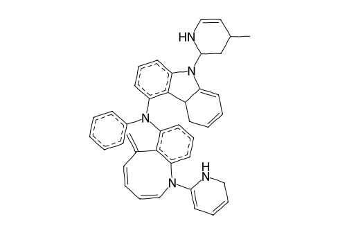 C=C1/C=C\C=C/N(C2=CC=CCN2)c2cccc(N(c3ccccc3)c3cccc4c3C3CC=CC=C3N4C3CC(C)C=CN3)c21